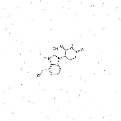 CN1c2c(CCl)cccc2N(C2CCC(=O)NC2=O)C1O